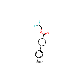 CCCCCCCCCCc1ccc(C2CCC(C(=O)OCC(F)F)CC2)cc1